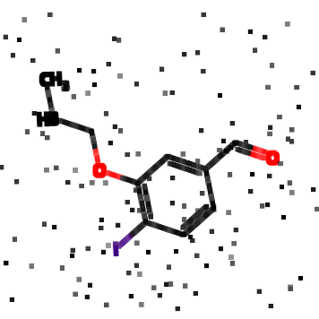 CBCOc1cc(C=O)ccc1I